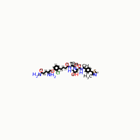 Cc1ncsc1-c1ccc([C@H](C)NC(=O)[C@@H]2C[C@@H](O)CN2C(=O)[C@@H](NC(=O)CCCc2cccc(OC[C@@H](N)CCC(N)=O)c2Cl)C(C)(C)C)cc1